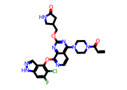 C=CC(=O)N1CCN(c2nc(OCC3CNC(=O)C3)nc3c(Oc4c(Cl)c(F)cc5[nH]ncc45)nccc23)CC1